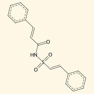 O=C(C=Cc1ccccc1)NS(=O)(=O)C=Cc1ccccc1